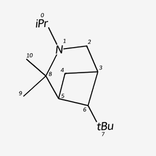 CC(C)N1CC2CC(C2C(C)(C)C)C1(C)C